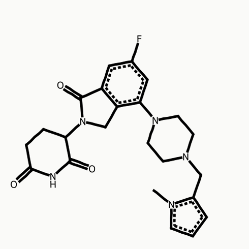 Cn1cccc1CN1CCN(c2cc(F)cc3c2CN(C2CCC(=O)NC2=O)C3=O)CC1